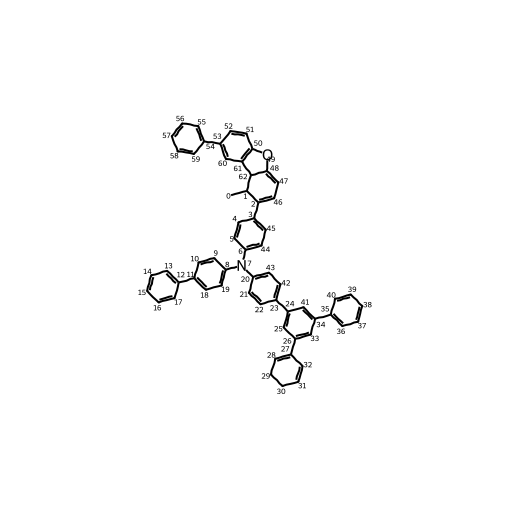 CC1C(c2ccc(N(c3ccc(-c4ccccc4)cc3)c3ccc(-c4cc(C5=CCCC=C5)cc(-c5ccccc5)c4)cc3)cc2)=CC=C2Oc3ccc(-c4ccccc4)cc3C21